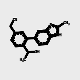 Cc1nc2cc(-c3cc(CC#N)ccc3C(C)O)ccc2[nH]1